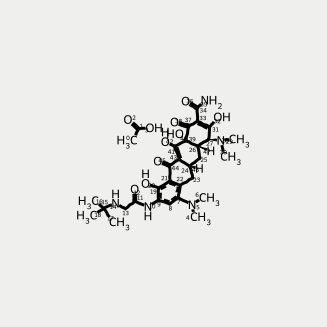 CC(=O)O.CN(C)c1cc(NC(=O)CNC(C)(C)C)c(O)c2c1C[C@H]1C[C@H]3[C@H](N(C)C)C(O)=C(C(N)=O)C(=O)[C@@]3(O)C(O)=C1C2=O